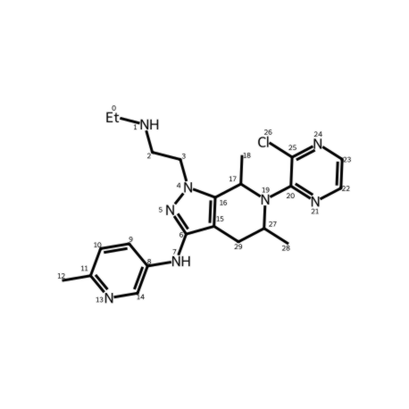 CCNCCn1nc(Nc2ccc(C)nc2)c2c1C(C)N(c1nccnc1Cl)C(C)C2